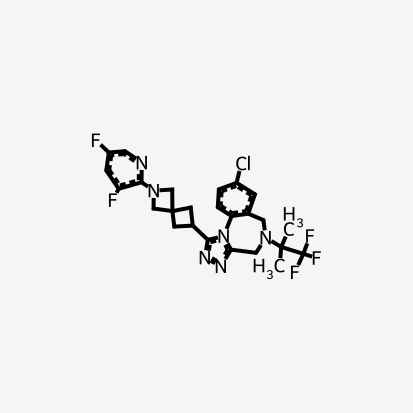 CC(C)(N1Cc2cc(Cl)ccc2-n2c(nnc2C2CC3(C2)CN(c2ncc(F)cc2F)C3)C1)C(F)(F)F